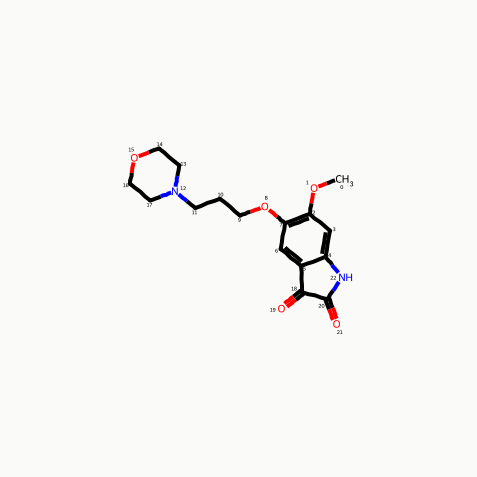 COc1cc2c(cc1OCCCN1CCOCC1)C(=O)C(=O)N2